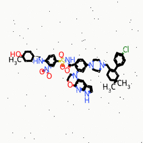 CC1(C)CCC(CN2CCN(c3ccc(C(=O)NS(=O)(=O)c4ccc(NC[C@H]5CC[C@@](C)(O)CC5)c([N+](=O)[O-])c4)c(N4CCOc5nc6[nH]ccc6cc54)c3)CC2)=C(c2ccc(Cl)cc2)C1